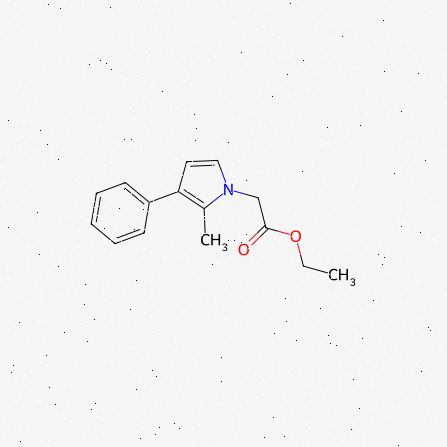 CCOC(=O)Cn1ccc(-c2ccccc2)c1C